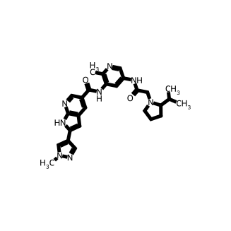 Cc1ncc(NC(=O)CN2CCCC2C(C)C)cc1NC(=O)c1cnc2[nH]c(-c3cnn(C)c3)cc2c1